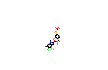 COC(=O)C[S+]([O-])c1ccc(C(C)NC(=O)c2cc3c(Cl)c(Cl)c(C)cc3n2C)cc1